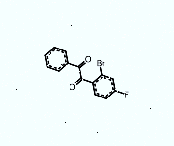 O=C(C(=O)c1ccc(F)cc1Br)c1ccccc1